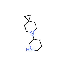 C1CNCC(N2CCC3(CC2)CC3)C1